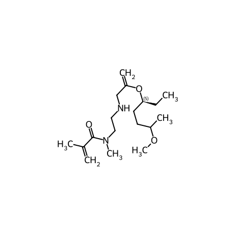 C=C(CNCCN(C)C(=O)C(=C)C)O[C@@H](CC)CCC(C)OC